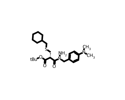 CN(C)c1ccc(CN(N)C(=O)[C@@H](CSCC2CCCCC2)C(=O)OC(C)(C)C)cc1